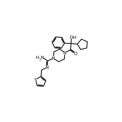 NC(=NCc1cccs1)N1CCN(C(=O)C(O)(c2ccccc2)C2CCCC2)CC1